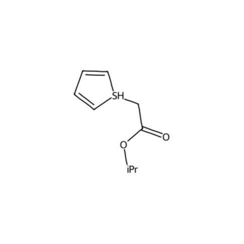 CC(C)OC(=O)C[SH]1C=CC=C1